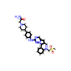 Cc1cc2cnc(Nc3ccc(C4CCN(CC(N)=O)CC4)cc3)nn2c1-c1ccccc1NCS(C)(=O)=O